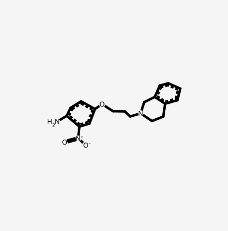 Nc1ccc(OCCCN2CCc3ccccc3C2)cc1[N+](=O)[O-]